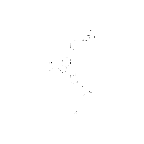 CCC(CC)n1cc(-c2ccc(C(=O)NC3(C(=O)O)CC4CC(C)CC3C4)c(C(F)(F)F)n2)c2ccc(O[C@H]3CC[C@H](N4CC(F)(F)C4)CC3)cc21